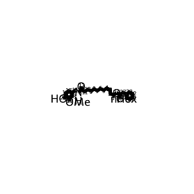 CCCCCC[C@H](C/C=C\CCCCCCCC(=O)NCc1ccc(O)c(OC)c1)OC(=O)Cc1ccccc1